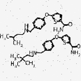 CC(C)(C)CCNCc1ccc(Oc2ccc(C(N)=O)s2)cc1.CC(C)CCNCc1ccc(Oc2ccc(C(N)=O)s2)cc1